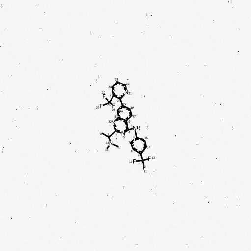 CC(c1nc(Nc2ccc(C(F)(F)F)cc2)c2ccc(-c3ncccc3C(F)(F)F)cc2n1)N(C)C